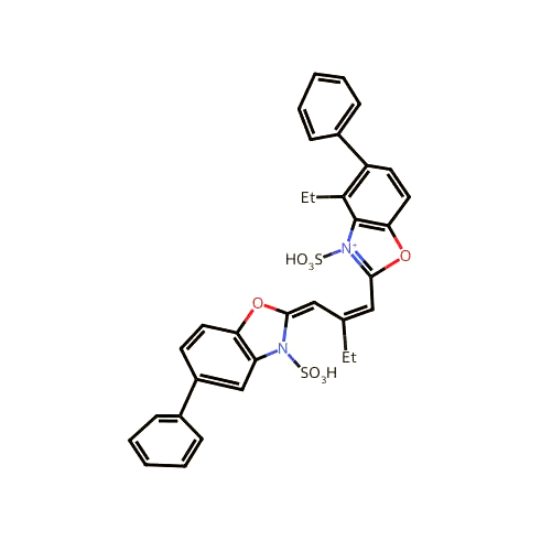 CCC(=Cc1oc2ccc(-c3ccccc3)c(CC)c2[n+]1S(=O)(=O)O)C=C1Oc2ccc(-c3ccccc3)cc2N1S(=O)(=O)O